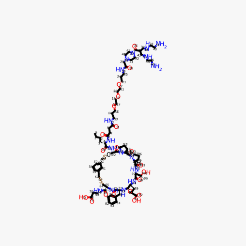 CCCC[C@H](NC(=O)CCC(=O)NCCCOCCOCCOCCCNC(=O)CN1CCN(C(=O)C(CNCCN)CNCCN)CC1)C(=O)N[C@H]1CSCc2cccc(c2)CSC[C@@H](C(=O)NCCC(=O)O)NC(=O)[C@H](Cc2ccccc2)NC(=O)[C@H](CCC(=O)O)NC(=O)[C@H]([C@@H](C)O)NC(=O)[C@@H]2CCCN2C(=O)[C@@H]2CCCN2C1=O